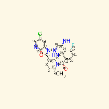 C[C@@H]1CC[C@@H](c2nc3cc(Cl)cnc3o2)CN1C(=O)c1ccc(F)cc1N/N=C\C=N